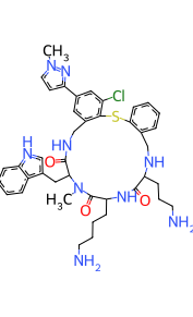 CN1C(=O)C(CCCCN)NC(=O)C(CCCN)NCc2ccccc2Sc2c(Cl)cc(-c3ccn(C)n3)cc2CNC(=O)C1Cc1c[nH]c2ccccc12